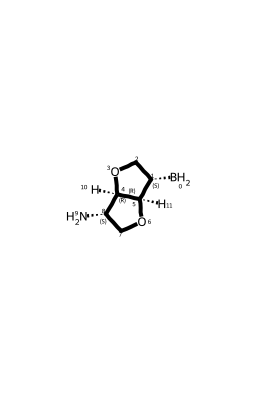 B[C@H]1CO[C@H]2[C@@H]1OC[C@@H]2N